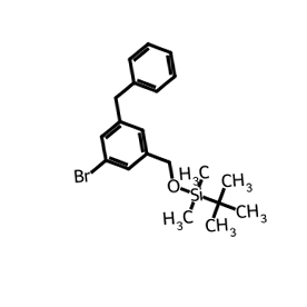 CC(C)(C)[Si](C)(C)OCc1cc(Br)cc(Cc2ccccc2)c1